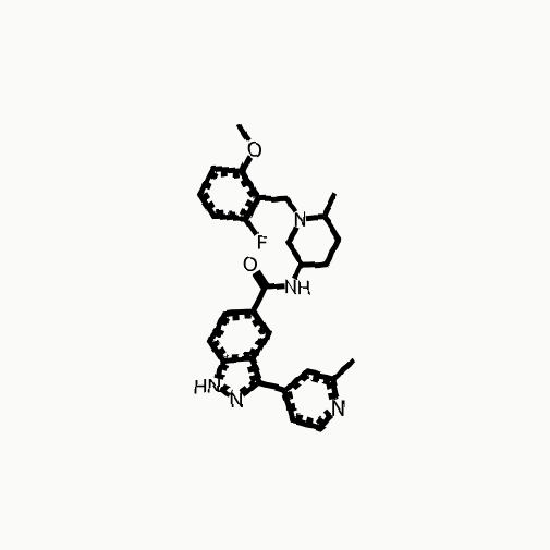 COc1cccc(F)c1CN1CC(NC(=O)c2ccc3[nH]nc(-c4ccnc(C)c4)c3c2)CCC1C